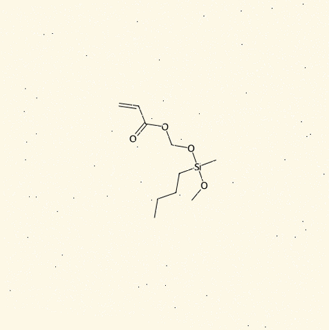 C=CC(=O)OCO[Si](C)(CCCC)OC